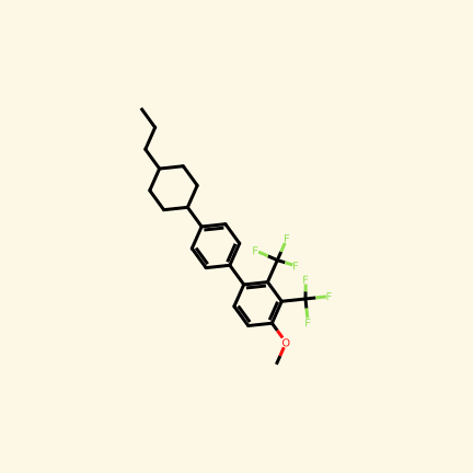 CCCC1CCC(c2ccc(-c3ccc(OC)c(C(F)(F)F)c3C(F)(F)F)cc2)CC1